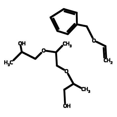 C=COCc1ccccc1.CC(O)COC(C)COC(C)CO